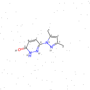 Cc1cc(C)n(-c2ccc(=O)[nH]n2)n1